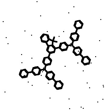 CC1(C)c2ccccc2-c2cc(-c3ccc(N(c4ccc(-c5ccccc5)cc4)c4ccc(-c5ccccc5)cc4)cc3)cc(-c3ccc(N(c4ccc(-c5ccccc5)cc4)c4ccc(-c5ccccc5)cc4)cc3)c21